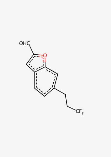 O=Cc1cc2ccc(CCC(F)(F)F)cc2o1